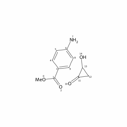 COC(=O)c1ccc(N)cc1.O=C1CC1O